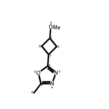 COC1CC(c2nnc(C)o2)C1